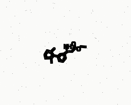 CCOC(=O)C[C@H](N)c1cccc(-c2c(C)cccc2C)c1